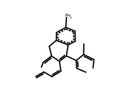 C=C/C=C\C1=C(C(=C/C)/C(C)=C\C)c2ccc(P)cc2C/C1=C/C